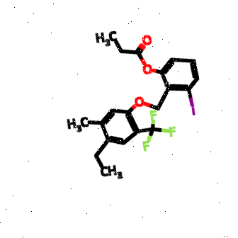 CCC(=O)Oc1cccc(I)c1COc1cc(C)c(CC)cc1C(F)(F)F